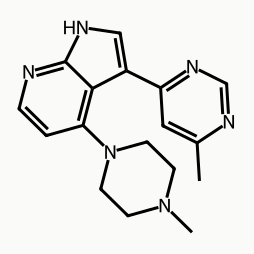 Cc1cc(-c2c[nH]c3nccc(N4CCN(C)CC4)c23)ncn1